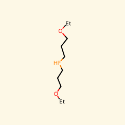 CCOCCCPCCCOCC